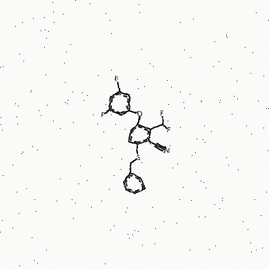 N#Cc1c(SCc2ccccc2)ccc(Oc2cc(F)cc(F)c2)c1C(F)F